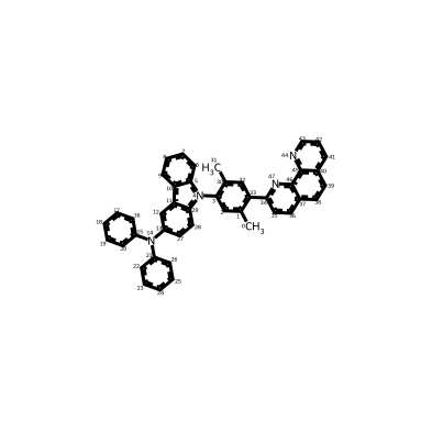 Cc1cc(-n2c3ccccc3c3cc(N(c4ccccc4)c4ccccc4)ccc32)c(C)cc1-c1ccc2ccc3cccnc3c2n1